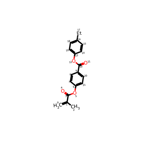 C=C(C)C(=O)Oc1ccc(C(=O)Oc2ccc(CC)cc2)cc1